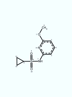 COc1cc[c]c(NS(=O)(=O)C2CC2)n1